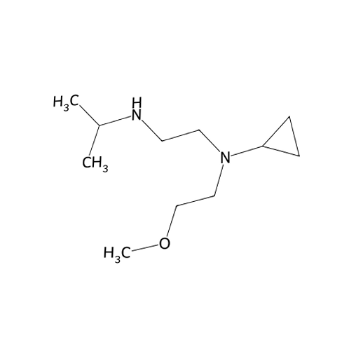 COCCN(CCNC(C)C)C1CC1